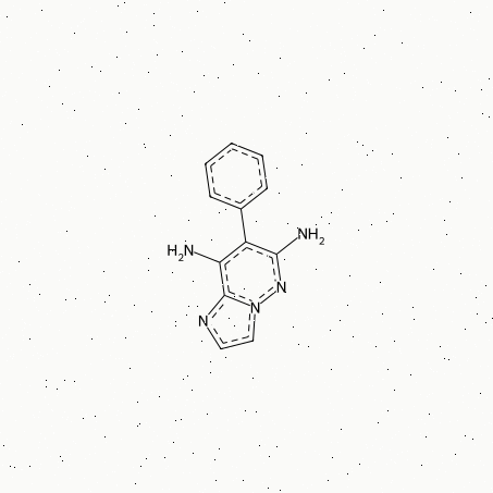 Nc1nn2ccnc2c(N)c1-c1ccccc1